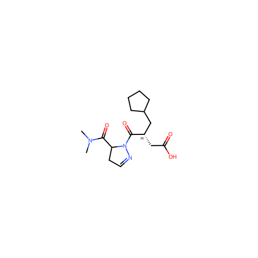 CN(C)C(=O)C1CC=NN1C(=O)[C@@H](CC(=O)O)CC1CCCC1